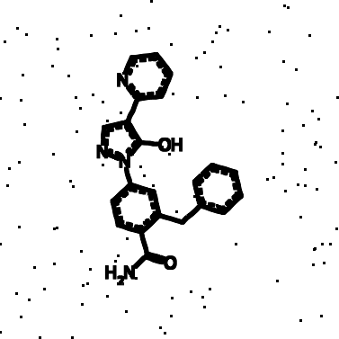 NC(=O)c1ccc(-n2ncc(-c3ccccn3)c2O)cc1Cc1ccccc1